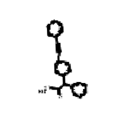 O=C(NO)C(c1ccccc1)c1ccc(C#Cc2ccccc2)cc1